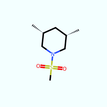 C[C@@H]1C[C@H](C)CN(S(C)(=O)=O)C1